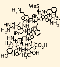 CC[C@H](C)[C@H](NC(=O)[C@H](Cc1ccccc1)NC(=O)[C@H](CCSC)NC(=O)[C@H](Cc1c[nH]c2ccccc12)NC(=O)[C@H](CCCCN)NC(=O)[C@H](CCCNC(=N)N)NC(=O)[C@H](CC(C)C)NC(=O)[C@H](CCCNC(=N)N)NC(=O)[C@H](CC(=O)O)NC(=O)[C@@H](NC(=O)[C@H](CO)NC(=O)[C@@H](C)Cc1ccc(O)cc1)[C@@H](C)O)C(N)=O